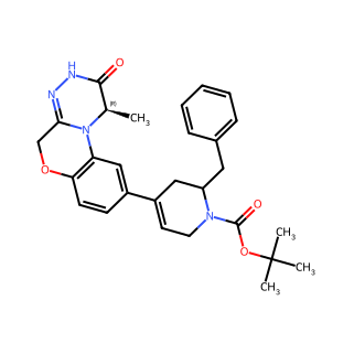 C[C@@H]1C(=O)NN=C2COc3ccc(C4=CCN(C(=O)OC(C)(C)C)C(Cc5ccccc5)C4)cc3N21